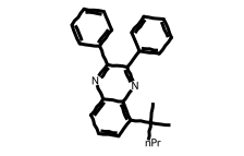 CCCC(C)(C)c1cccc2nc(-c3ccccc3)c(-c3ccccc3)nc12